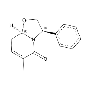 CC1=CC[C@H]2OC[C@@H](c3ccccc3)N2C1=O